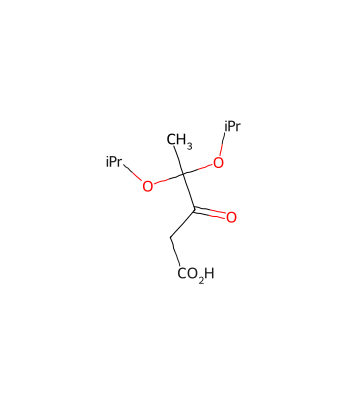 CC(C)OC(C)(OC(C)C)C(=O)CC(=O)O